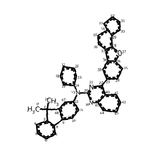 CC1(C)c2ccccc2-c2ccc(N(c3ccccc3)c3nc(-c4ccc5oc6c7ccccc7ccc6c5c4)c4ccccc4n3)cc21